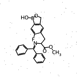 COC(=O)C(Cc1cc2c(cc1F)B(O)OC2)N=C(c1ccccc1)c1ccccc1